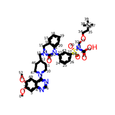 COc1cc2ncnc(N3CCC(CN4Cc5ccccc5N(c5cccc(S(=O)(=O)N(COCC[Si](C)(C)C)C(=O)O)c5)C4=O)CC3)c2cc1OC